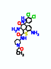 C=CC(=O)N1CCCC(NC(=O)c2sc3c(N)ccc4c3c2C(N)C(=O)C4(N)c2ccc(Cl)c(Cl)c2)C1